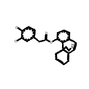 O=C(Cc1ccc(Cl)c(Cl)c1)Oc1cccc2c1C13CC=CC=C1C(=C2)NCC3